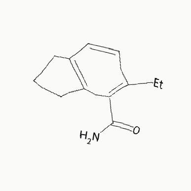 CCc1ccc2c(c1C(N)=O)CCC2